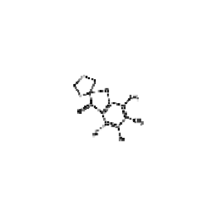 Cc1c(C)c2c(c(C)c1Br)C(=O)C1(CCCC1)O2